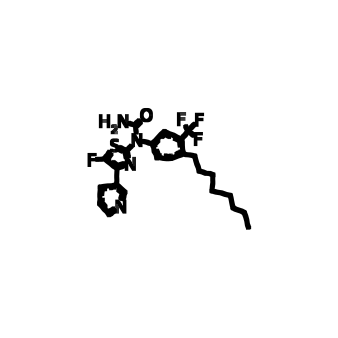 CCCCCCCCc1ccc(N(C(N)=O)c2nc(-c3cccnc3)c(F)s2)cc1C(F)(F)F